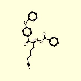 N#CCCCC/C(=N\OC(=O)c1ccccc1)C(=O)c1ccc(Oc2ccccc2)cc1